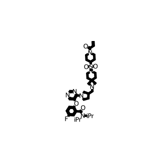 C=CC(=O)N1CCC(S(=O)(=O)N2CCC3(CC2)CN(CC2CCN(c4ncncc4Oc4ccc(F)cc4C(=O)N(C(C)C)C(C)C)C2)C3)CC1